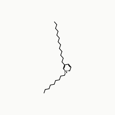 CCCCCCCCCCCCCc1ccc[n+](CCCCCCCCC)c1